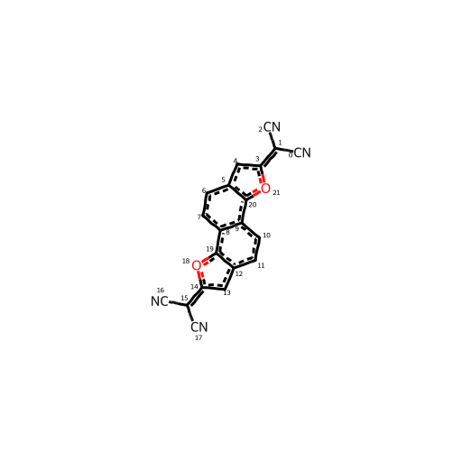 N#CC(C#N)=c1cc2ccc3c(ccc4cc(=C(C#N)C#N)oc43)c2o1